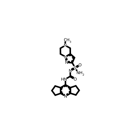 CN1CCn2nc(S(N)(=O)=NC(=O)Nc3c4c(nc5c3CCC5)CCC4)cc2C1